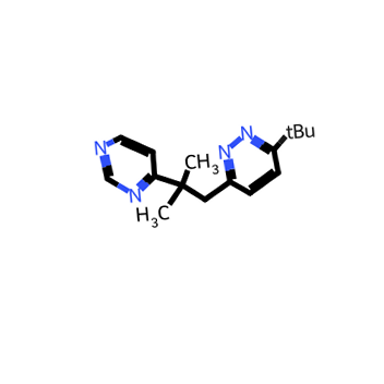 CC(C)(C)c1ccc(CC(C)(C)c2ccncn2)nn1